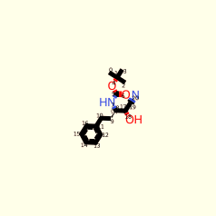 CC(C)(C)OC(=O)N[C@@H](CCc1ccccc1)C(O)C#N